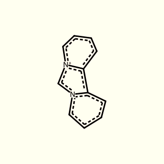 c1ccn2c[n+]3ccccc3c2c1